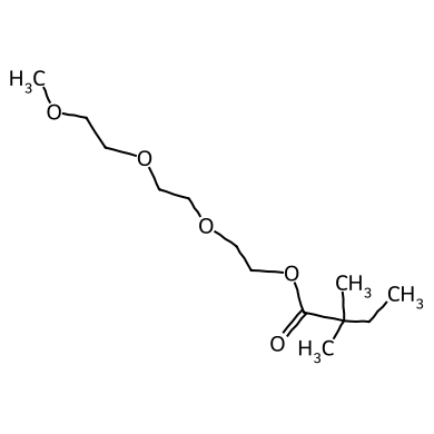 CCC(C)(C)C(=O)OCCOCCOCCOC